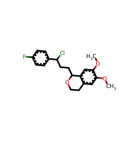 COc1cc2c(cc1OC)C(CCC(Cl)c1ccc(F)cc1)OCC2